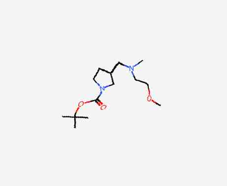 COCCN(C)CC1CCN(C(=O)OC(C)(C)C)C1